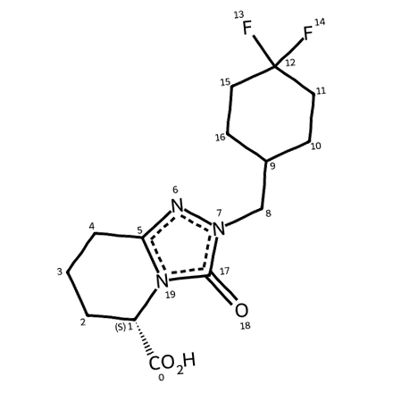 O=C(O)[C@@H]1CCCc2nn(CC3CCC(F)(F)CC3)c(=O)n21